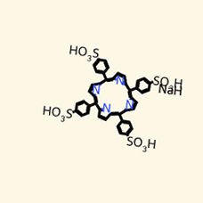 O=S(=O)(O)c1ccc(C2=C3C=CC(=N3)C(c3ccc(S(=O)(=O)O)cc3)=C3C=CC(=N3)C(c3ccc(S(=O)(=O)O)cc3)=C3C=CC(=N3)C(c3ccc(S(=O)(=O)O)cc3)=C3C=CC2=N3)cc1.[NaH]